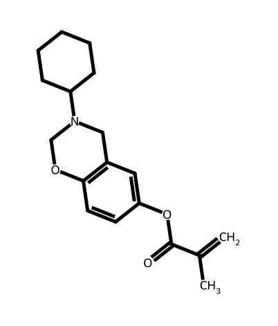 C=C(C)C(=O)Oc1ccc2c(c1)CN(C1CCCCC1)CO2